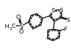 CS(=O)(=O)c1ccc(-c2ssc(=S)c2-c2ccccc2F)cc1